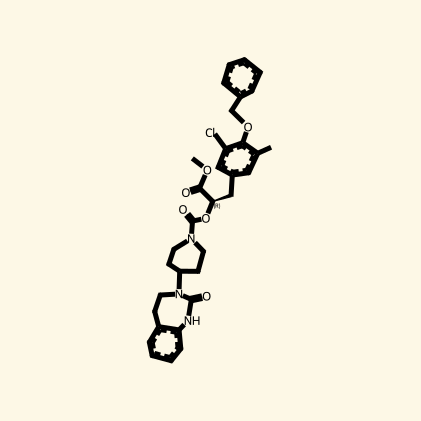 COC(=O)[C@@H](Cc1cc(C)c(OCc2ccccc2)c(Cl)c1)OC(=O)N1CCC(N2CCc3ccccc3NC2=O)CC1